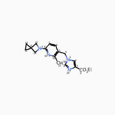 CCOC(=O)c1cn(Cc2ccc(N3CC4(CC4)C3)nc2C)cn1